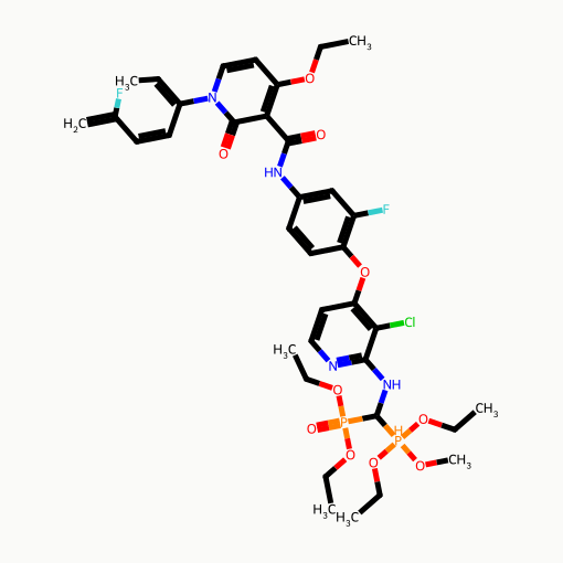 C=C(F)/C=C\C(=C/C)n1ccc(OCC)c(C(=O)Nc2ccc(Oc3ccnc(NC(P(=O)(OCC)OCC)[PH](OC)(OCC)OCC)c3Cl)c(F)c2)c1=O